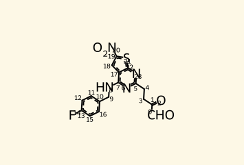 O=CC(=O)CCc1nc(NCc2ccc(F)cc2)c2cc([N+](=O)[O-])sc2n1